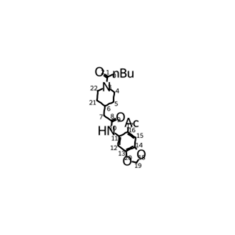 CCCCC(=O)N1CCC(CC(=O)Nc2cc3c(cc2C(C)=O)OCO3)CC1